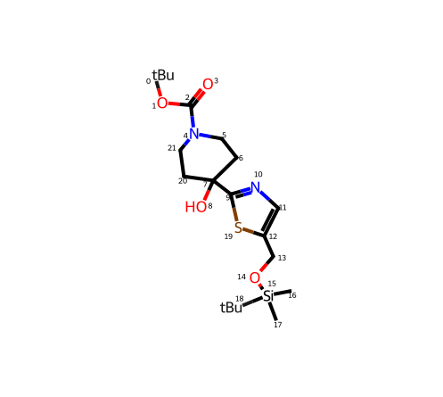 CC(C)(C)OC(=O)N1CCC(O)(c2ncc(CO[Si](C)(C)C(C)(C)C)s2)CC1